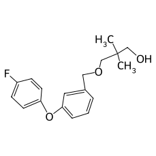 CC(C)(CO)COCc1cccc(Oc2ccc(F)cc2)c1